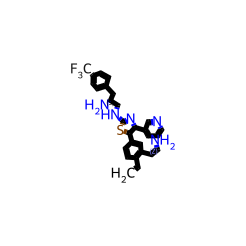 C=Cc1ccc(C2SC(NC[C@@H](N)Cc3ccc(C(F)(F)F)cc3)=NC2c2cccnc2)cc1/C=C\N